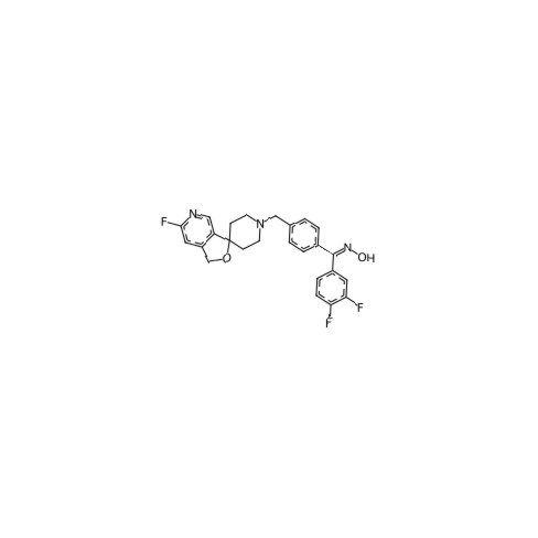 O/N=C(/c1ccc(CN2CCC3(CC2)OCc2cc(F)ncc23)cc1)c1ccc(F)c(F)c1